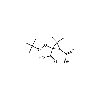 CC(C)(C)OOC1(C(=O)O)C(C(=O)O)C1(C)C